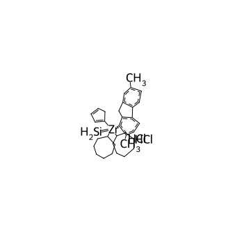 Cc1ccc2c(c1)Cc1c-2ccc(C)[c]1[Zr](=[SiH2])([C]1=CC=CC1)([CH]1CCCCCC1)[CH]1CCCCCC1.Cl.Cl